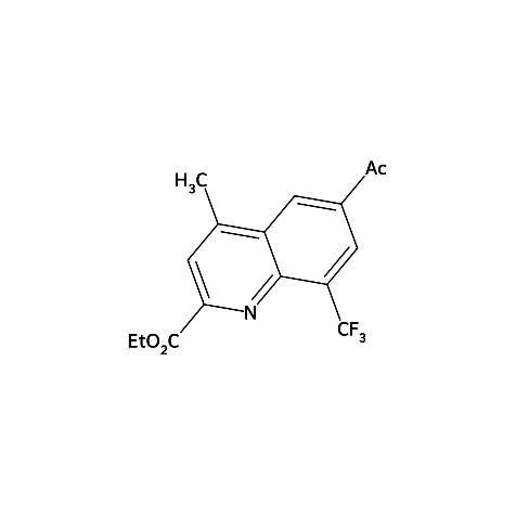 CCOC(=O)c1cc(C)c2cc(C(C)=O)cc(C(F)(F)F)c2n1